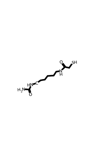 NC(=O)NCCCCCCNC(=O)CS